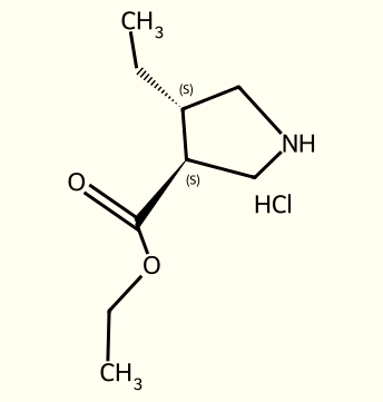 CCOC(=O)[C@@H]1CNC[C@H]1CC.Cl